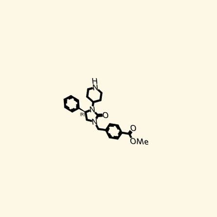 COC(=O)c1ccc(CN2C[C@@H](c3ccccc3)N(C3CCNCC3)C2=O)cc1